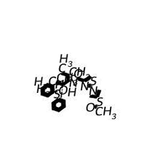 CC[C@H](C)[C@H](NC(=O)c1csc(N2CC(SC(C)=O)C2)n1)C(O[SiH](c1ccccc1)c1ccccc1)C(C)(C)C